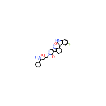 Cc1[nH]c2c(c1C(=O)NCC(O)CC(N)C1CCCCC1)CCC/C2=C1/C(=O)Nc2ccc(F)cc21